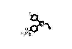 C#CCn1cc(-c2ccc(F)cc2)c(-c2ccc(S(N)(=O)=O)cc2)n1